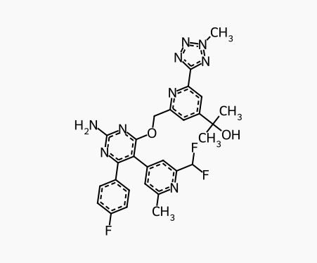 Cc1cc(-c2c(OCc3cc(C(C)(C)O)cc(-c4nnn(C)n4)n3)nc(N)nc2-c2ccc(F)cc2)cc(C(F)F)n1